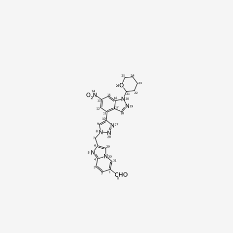 O=Cc1ccc2nc(Cn3cc(-c4cc([N+](=O)[O-])cc5c4cnn5C4CCCCO4)nn3)cn2c1